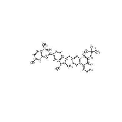 Cc1c(C)n(Cc2ccc(-c3ccccc3C(=O)OC(C)(C)C)cc2)c2ccc(C(=O)NC(C)c3ccc(Cl)nc3)cc12